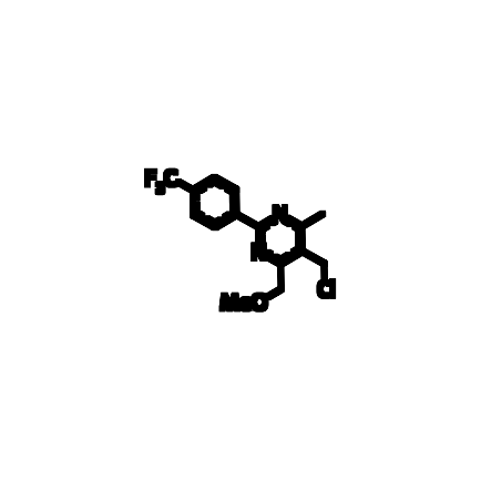 COCc1nc(-c2ccc(C(F)(F)F)cc2)nc(C)c1CCl